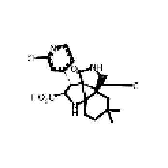 CC1(C)CCC2(CC1)N[C@@H](C(=O)O)[C@H](c1ccnc(Cl)c1)[C@]21C(=O)Nc2cc(Cl)ccc21